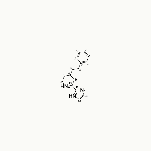 c1ccc(CCC2CCNC(c3ncc[nH]3)C2)cc1